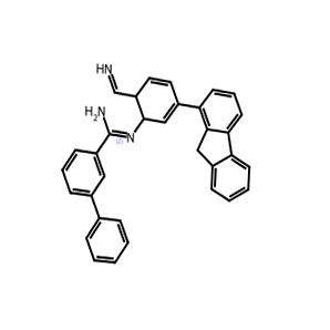 N=CC1C=CC(c2cccc3c2Cc2ccccc2-3)=CC1/N=C(\N)c1cccc(-c2ccccc2)c1